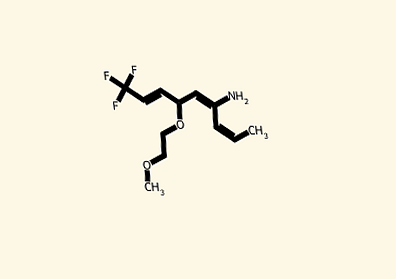 C/C=C\C(N)=C/C(C=CC(F)(F)F)OCCOC